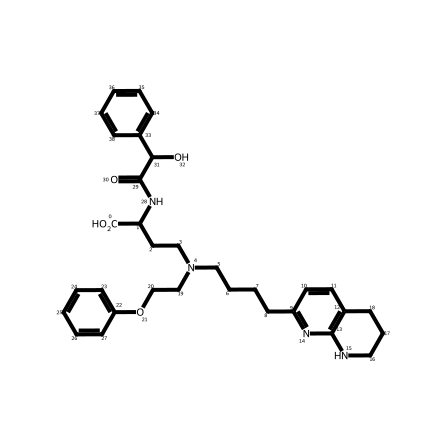 O=C(O)C(CCN(CCCCc1ccc2c(n1)NCCC2)CCOc1ccccc1)NC(=O)C(O)c1ccccc1